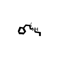 C=CCNC[C@@H](C)Cc1ccccc1